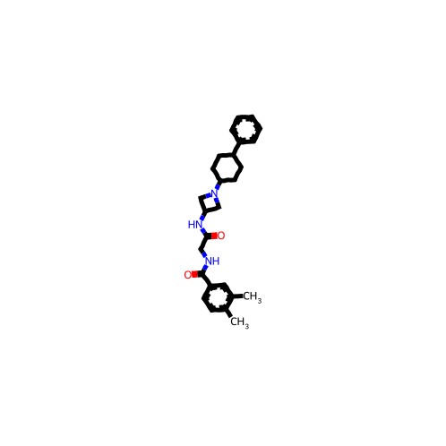 Cc1ccc(C(=O)NCC(=O)NC2CN(C3CCC(c4ccccc4)CC3)C2)cc1C